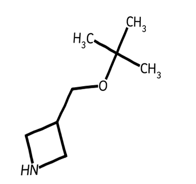 CC(C)(C)OCC1CNC1